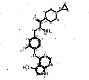 Cc1c[nH]c2ncnc(Oc3ccc(C[C@H](N)C(=O)N4CCN(C5CC5)CC4)cc3F)c12